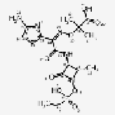 COP(=O)(O)ON1C(=O)[C@@H](NC(=O)/C(=N\OC(C)(C)C(=O)O)c2csc(N)n2)[C@@H]1C